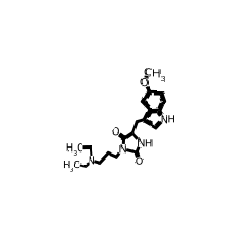 CCN(CC)CCCN1C(=O)NC(Cc2c[nH]c3ccc(OC)cc23)C1=O